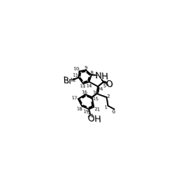 CCC/C(=C1\C(=O)Nc2ccc(Br)cc21)c1cccc(O)c1